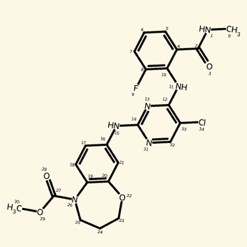 CNC(=O)c1cccc(F)c1Nc1nc(Nc2ccc3c(c2)OCCCN3C(=O)OC)ncc1Cl